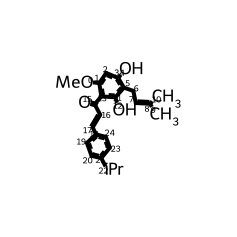 COc1cc(O)c(CC=C(C)C)c(O)c1C(=O)/C=C/c1ccc(C(C)C)cc1